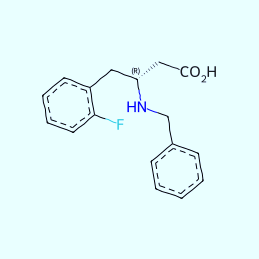 O=C(O)C[C@@H](Cc1ccccc1F)NCc1ccccc1